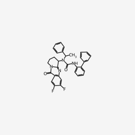 CC(c1ccccc1)N(C(=O)Nc1ccccc1-c1ccccc1)C1CCCn2c1nc1cc(F)c(F)cc1c2=O